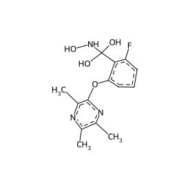 Cc1nc(C)c(Oc2cccc(F)c2C(O)(O)NO)nc1C